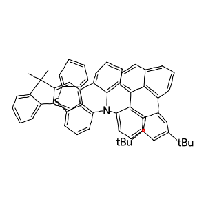 CC(C)(C)c1cc(-c2cccc3cccc(-c4ccccc4N(c4ccccc4-c4ccc5c(c4)C(C)(C)c4ccccc4-5)c4cccc5sc6ccccc6c45)c23)cc(C(C)(C)C)c1